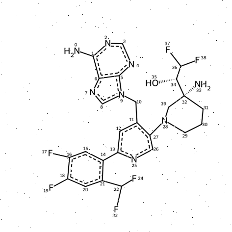 Nc1ncnc2c1ncn2Cc1cc(-c2cc(F)c(F)cc2C(F)F)ncc1N1CCC[C@](N)([C@H](O)C(F)F)C1